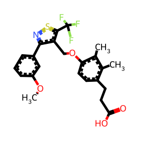 COc1cccc(-c2nsc(C(F)(F)F)c2COc2ccc(CCC(=O)O)c(C)c2C)c1